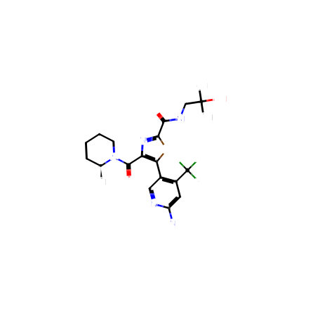 C[C@H]1CCCCN1C(=O)c1nc(C(=O)NCC(C)(C)O)sc1-c1cnc(N)cc1C(F)(F)F